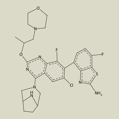 CC(CN1CCOCC1)Oc1nc(N2CC3CCC(C2)N3)c2cc(Cl)c(-c3ccc(F)c4sc(N)nc34)c(F)c2n1